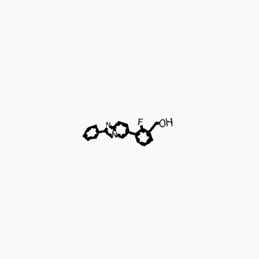 OCc1cccc(-c2ccc3nc(-c4ccccc4)cn3c2)c1F